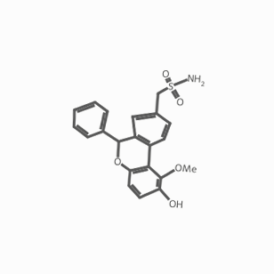 COc1c(O)ccc2c1-c1ccc(CS(N)(=O)=O)cc1C(c1ccccc1)O2